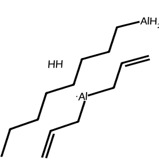 C=C[CH2][Al][CH2]C=C.CCCCCCC[CH2][AlH2].[HH]